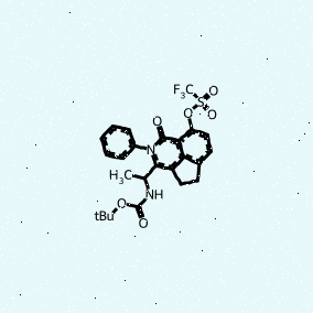 CC(NC(=O)OC(C)(C)C)c1c2c3c(ccc(OS(=O)(=O)C(F)(F)F)c3c(=O)n1-c1ccccc1)CC2